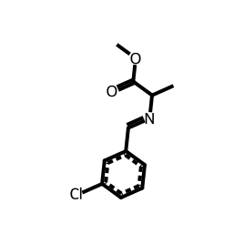 COC(=O)C(C)N=Cc1cccc(Cl)c1